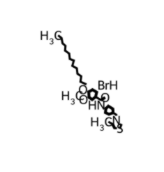 Br.CCCCCCCCCCCCCCOc1ccc(C(=O)Nc2ccc(CN3CSC=C3C)cc2)cc1OC